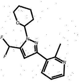 Cc1ncccc1-c1cc(C(F)F)n(C2CCCCO2)n1